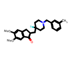 COc1cc2c(cc1OC)C(=O)C(CC1(F)CCN(Cc3cccc(C)c3)CC1)C2